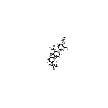 Cc1nc(N2CCn3c(nc4ccc(S(C)(=O)=O)cc43)C2C(C)C)ncc1OC=O